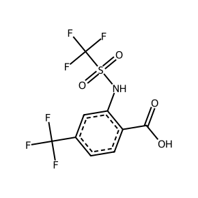 O=C(O)c1ccc(C(F)(F)F)cc1NS(=O)(=O)C(F)(F)F